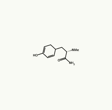 CN[C@@H](CC1C=CC(O)=CC1)C(N)=O